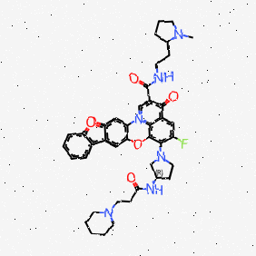 CN1CCCC1CCNC(=O)c1cn2c3c(c(N4CC[C@@H](NC(=O)CCN5CCCCC5)C4)c(F)cc3c1=O)Oc1cc3c(cc1-2)oc1ccccc13